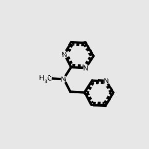 CN(Cc1cccnc1)c1ncccn1